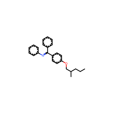 CCCC(C)COc1ccc(C(=Nc2ccccc2)c2ccccc2)cc1